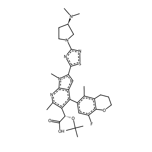 Cc1nc2c(cc(-c3nc(N4CC[C@@H](N(C)C)C4)ns3)n2C)c(-c2cc(F)c3c(c2C)CCCO3)c1[C@H](OC(C)(C)C)C(=O)O